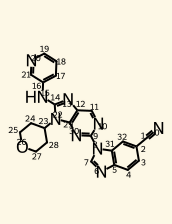 N#Cc1ccc2ncn(-c3ncc4nc(Nc5cccnc5)n(C5CCOCC5)c4n3)c2c1